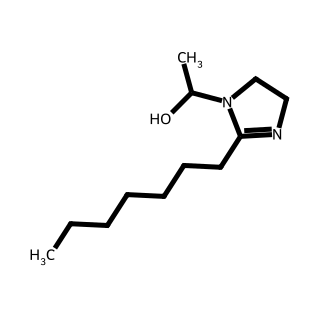 CCCCCCCC1=NCCN1C(C)O